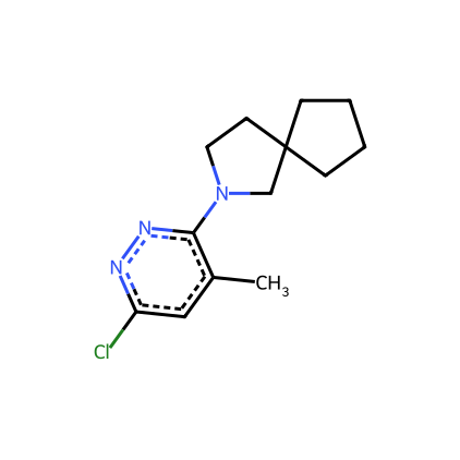 Cc1cc(Cl)nnc1N1CCC2(CCCC2)C1